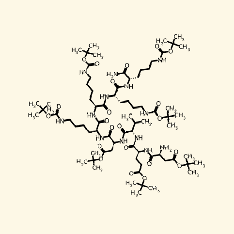 CC(C)[C@H](NC(=O)[C@H](CCC(=O)OC(C)(C)C)NC(=O)[C@@H](N)CC(=O)OC(C)(C)C)C(=O)N[C@@H](CC(=O)OC(C)(C)C)C(=O)N[C@@H](CCCCNC(=O)OC(C)(C)C)C(=O)N[C@@H](CCCCNC(=O)OC(C)(C)C)C(=O)N[C@@H](CCCCNC(=O)OC(C)(C)C)C(=O)N[C@@H](CCCCNC(=O)OC(C)(C)C)C(N)=O